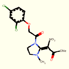 COC(=O)C(=C1N(C)CCN1C(=O)COc1ccc(Cl)cc1Cl)[N+](=O)[O-]